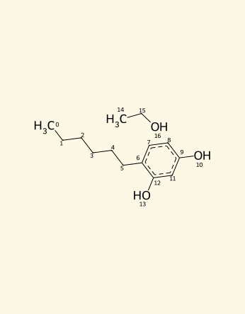 CCCCCCc1ccc(O)cc1O.CCO